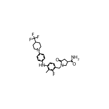 Cc1c(Nc2ccc(N3CCC(C(F)(F)F)CC3)cc2)ccc(CN2CC(C(N)=O)CC2=O)c1F